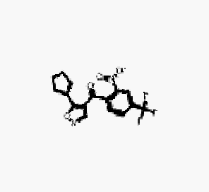 O=C(c1ccc(C(F)(F)F)cc1[N+](=O)[O-])c1cnoc1C1CCCC1